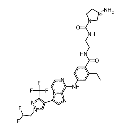 CCc1cc(Nc2nccn3c(-c4cn(CC(F)F)nc4C(F)(F)F)cnc23)ccc1C(=O)NCCNC(=O)N1CC[C@H](N)C1